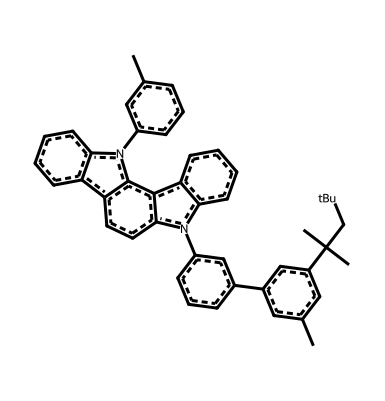 Cc1cccc(-n2c3ccccc3c3ccc4c(c5ccccc5n4-c4cccc(-c5cc(C)cc(C(C)(C)CC(C)(C)C)c5)c4)c32)c1